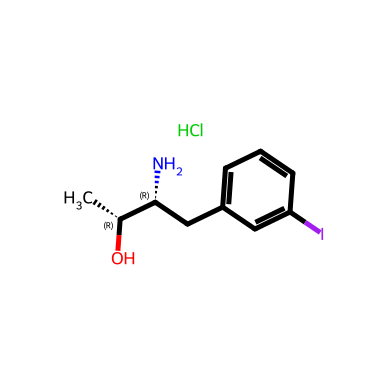 C[C@@H](O)[C@H](N)Cc1cccc(I)c1.Cl